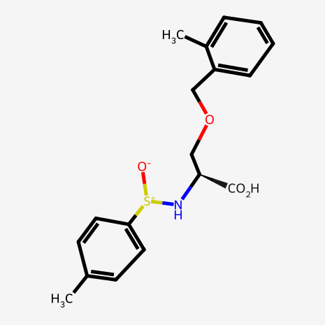 Cc1ccc([S+]([O-])N[C@@H](COCc2ccccc2C)C(=O)O)cc1